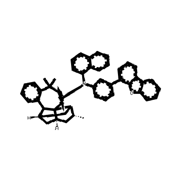 C[C@@H]1C[C@H]2C[C@H]3CC1CC21c2ccc(N(c4cccc(-c5cccc6c5oc5ccccc56)c4)c4cccc5ccccc45)cc2C(C)(C)c2ccccc2C31